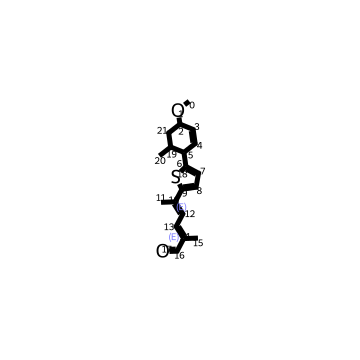 COC1C=CC(c2ccc(/C(C)=C/C=C(\C)C=O)s2)C(C)C1